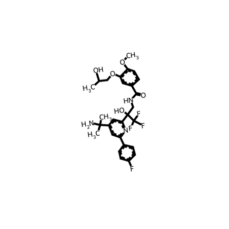 COc1ccc(C(=O)NCC(O)(c2cc(C(C)(C)N)cc(-c3ccc(F)cc3)n2)C(F)(F)F)cc1OCC(C)O